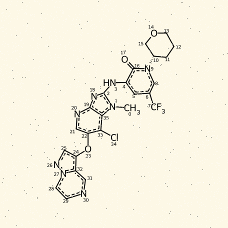 Cn1c(Nc2cc(C(F)(F)F)cn([C@H]3CCCOC3)c2=O)nc2ncc(Oc3cnn4ccncc34)c(Cl)c21